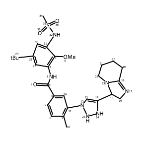 COc1c(NC(=O)c2ccc(C)c(N3C=C(C4CN=C5CCCCN54)NN3)c2)cc(C(C)(C)C)cc1NS(C)(=O)=O